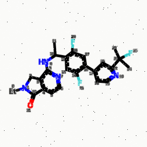 CCN1Cc2c(ccnc2NC(C)c2cc(F)c(-c3ccnc(C(C)(C)F)c3)cc2F)C1=O